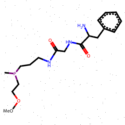 COOCCP(C)CCCNC(=O)CNC(=O)C(N)Cc1ccccc1